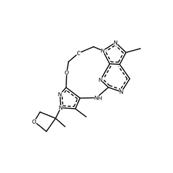 Cc1nn2c3nc(ncc13)Nc1c(nn(C3(C)COC3)c1C)OCCC2